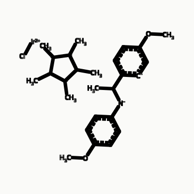 COc1c[c-]c(C(C)[N-]c2ccc(OC)cc2)cc1.C[C]1[C](C)[C](C)[C](C)[C]1C.[Cl][Ir+2]